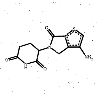 Nc1csc2c1CN(C1CCC(=O)NC1=O)C2=O